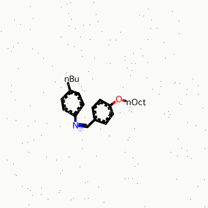 CCCCCCCCOc1ccc(/C=N\c2ccc(CCCC)cc2)cc1